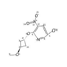 CO[C@H]1C[C@H](Oc2ncc(Cl)cc2[N+](=O)[O-])C1